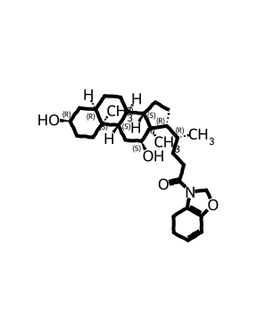 C[C@H](CCC(=O)N1COC2=C1CCC=C2)[C@H]1CC[C@H]2[C@@H]3CC[C@@H]4C[C@H](O)CC[C@]4(C)[C@H]3C[C@H](O)[C@]12C